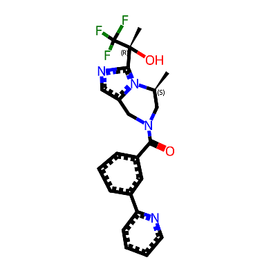 C[C@H]1CN(C(=O)c2cccc(-c3ccccn3)c2)Cc2cnc([C@@](C)(O)C(F)(F)F)n21